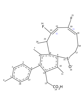 Cc1ccc(-c2c(C)c3c(c(C)c2CC(=O)O)[S+]([O-])CC/C=C(F)\C=C(\F)C3C)cc1